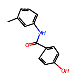 Cc1cccc(NC(=O)c2ccc(O)cc2)c1